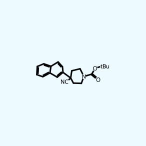 CC(C)(C)OC(=O)N1CCC(C#N)(c2ccc3ccccc3c2)CC1